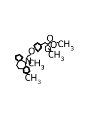 CCOC(=O)C(Cc1ccc(OCCN(C)C2c3ccccc3CCc3cc(C)ccc32)cc1)OCC